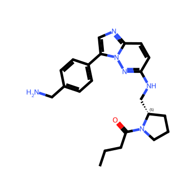 CCCC(=O)N1CCC[C@H]1CNc1ccc2ncc(-c3ccc(CN)cc3)n2n1